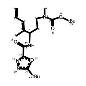 C=C/C=C(\C)C(CCN(C)C(=O)OC(C)(C)C)NC(=O)c1nnc(C(C)(C)C)o1